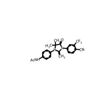 C=C1N(c2ccc(C#N)c(C(F)(F)F)c2)C(=O)C(C)(C)N1c1ccc(NC(C)=O)cc1